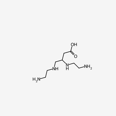 NCCNCC(CC(=O)O)NCCN